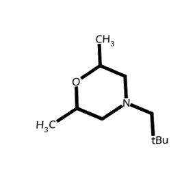 CC1CN(CC(C)(C)C)CC(C)O1